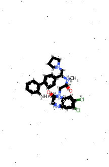 CC(=O)Nc1ccccc1-c1ccc(C(CN2CCCC2)N(C)C(=O)Cn2c(=O)cnc3cc(Cl)c(Cl)cc32)cc1